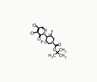 CC(C)(C)OC(=O)N1C[C@H](F)C(n2ncc(Cl)c(Cl)c2=O)[C@@H](F)C1